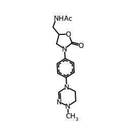 CC(=O)NCC1CN(c2ccc(N3C=NN(C)CC3)cc2)C(=O)O1